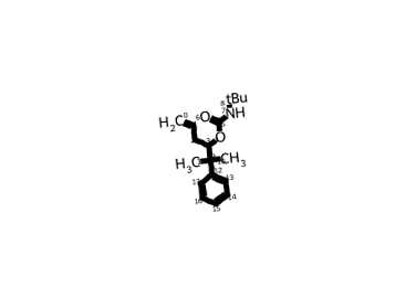 C=CCC(OC(=O)NC(C)(C)C)C(C)(C)c1ccccc1